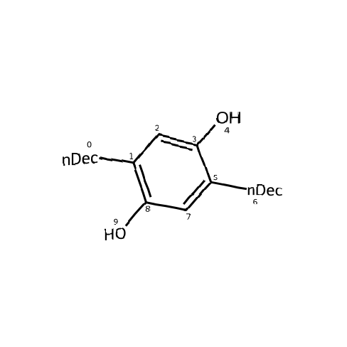 CCCCCCCCCCc1cc(O)c(CCCCCCCCCC)cc1O